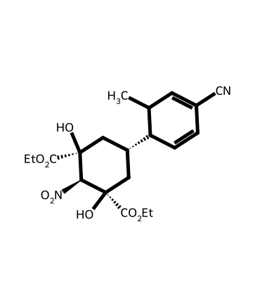 CCOC(=O)[C@]1(O)C[C@H](C2C=CC(C#N)=CC2C)C[C@](O)(C(=O)OCC)[C@H]1[N+](=O)[O-]